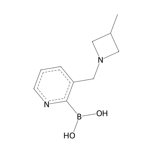 CC1CN(Cc2cccnc2B(O)O)C1